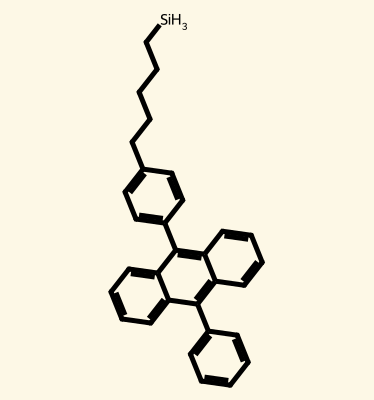 [SiH3]CCCCCc1ccc(-c2c3ccccc3c(-c3ccccc3)c3ccccc23)cc1